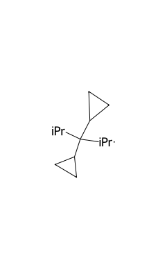 C[C](C)C(C(C)C)(C1CC1)C1CC1